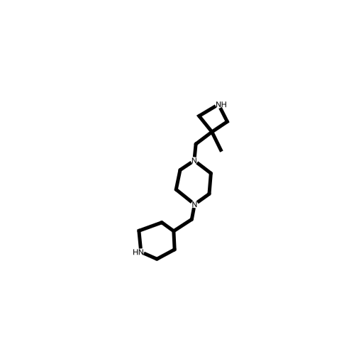 CC1(CN2CCN(CC3CCNCC3)CC2)CNC1